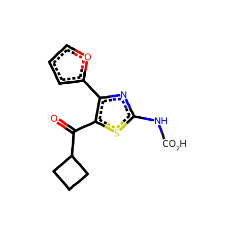 O=C(O)Nc1nc(-c2ccco2)c(C(=O)C2CCC2)s1